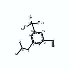 C=Cc1cc(CC(C)C)cc(C(F)(F)F)c1